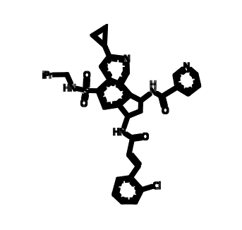 CC(C)CNS(=O)(=O)c1cc2c(c3cnc(C4CC4)cc13)C(NC(=O)c1cccnc1)CC2NC(=O)/C=C/c1ccccc1Cl